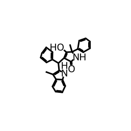 Cc1c(C(C2=C(O)C(C)(c3ccccc3)NC2=O)c2ccccc2)[nH]c2ccccc12